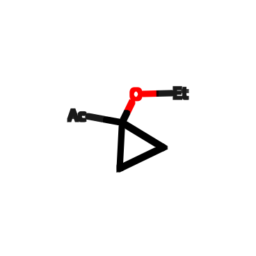 CCOC1(C(C)=O)CC1